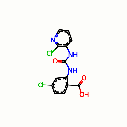 O=C(Nc1cc(Cl)ccc1C(=O)O)Nc1cccnc1Cl